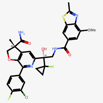 COc1cc(C(=O)NC[C@](O)(c2cc3c(c(-c4ccc(F)c(Cl)c4)n2)OC[C@]3(C)C(N)=O)C2(F)CC2)cc2sc(C)nc12